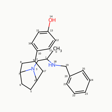 CC(CN1C2CCC1CC(c1ccc(O)cc1)C2)NCc1ccccc1